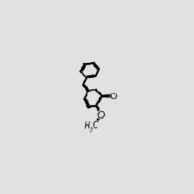 COC1C=CC(=Cc2ccccc2)CC1=O